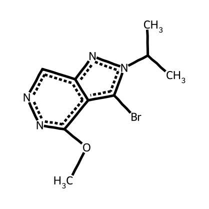 COc1nncc2nn(C(C)C)c(Br)c12